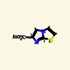 CCOC(=O)c1cn2ccsc2n1